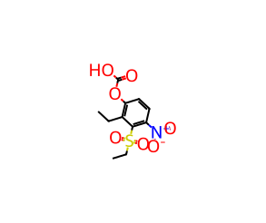 CCc1c(OC(=O)O)ccc([N+](=O)[O-])c1S(=O)(=O)CC